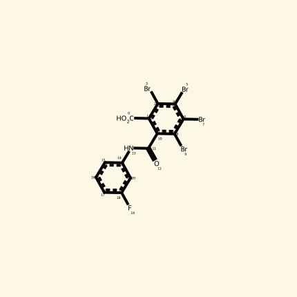 O=C(O)c1c(Br)c(Br)c(Br)c(Br)c1C(=O)Nc1cccc(F)c1